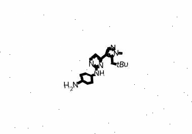 Cn1ncc(-c2ccnc(NC3CCC(N)CC3)n2)c1CC(C)(C)C